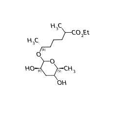 CCOC(=O)C(C)CCC[C@@H](C)OC1O[C@@H](C)C(O)C[C@H]1O